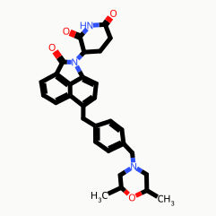 CC1CN(Cc2ccc(Cc3ccc4c5c(cccc35)C(=O)N4C3CCC(=O)NC3=O)cc2)CC(C)O1